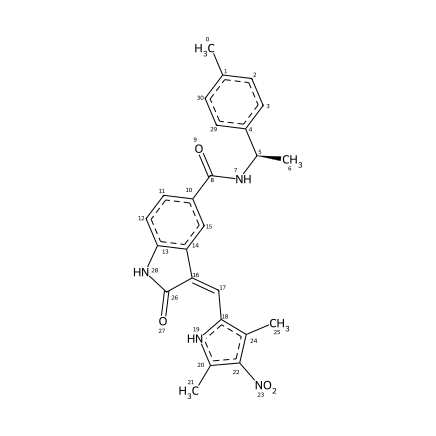 Cc1ccc([C@@H](C)NC(=O)c2ccc3c(c2)/C(=C/c2[nH]c(C)c([N+](=O)[O-])c2C)C(=O)N3)cc1